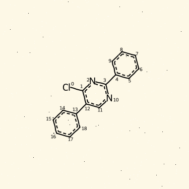 Clc1nc(-c2ccccc2)ncc1-c1c[c][c]cc1